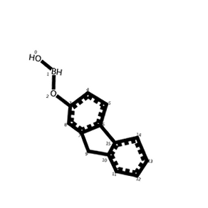 OBOc1ccc2c(c1)Cc1ccccc1-2